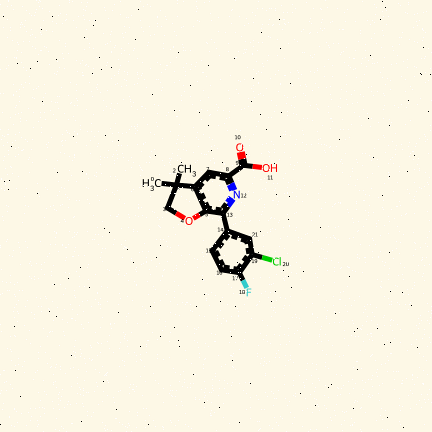 CC1(C)COc2c1cc(C(=O)O)nc2-c1ccc(F)c(Cl)c1